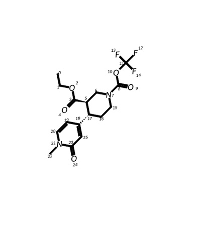 CCOC(=O)[C@H]1CN(C(=O)OC(F)(F)F)CC[C@@H]1c1ccn(C)c(=O)c1